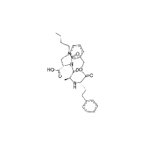 CCCCN1C[C@@H](C(=O)O)N(C(=O)[C@H](C)N[C@@H](CCc2ccccc2)C(=O)OCc2ccccc2)C1=O